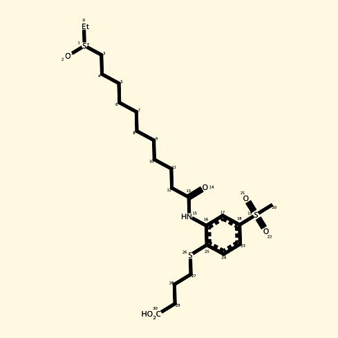 CC[S+]([O-])CCCCCCCCCCC(=O)Nc1cc(S(C)(=O)=O)ccc1SCCCC(=O)O